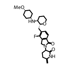 C=C1CCC(N2Cc3c(ccc(C[C@H]4OCCC[C@@H]4N[C@H]4CC[C@@H](OC)CC4)c3F)C2=O)C(=O)N1